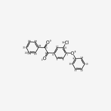 O=C(C(=O)c1ccc(Oc2ccccc2)c(Cl)c1)c1cccnc1